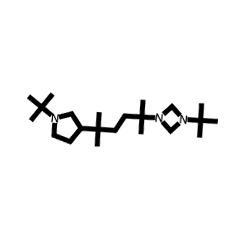 CC(C)(CCC(C)(C)N1CN(C(C)(C)C)C1)C1CCN(C(C)(C)C)C1